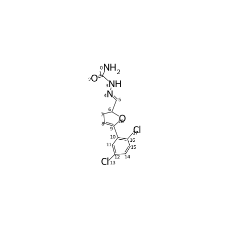 NC(=O)N/N=C/C1CC=C(c2cc(Cl)ccc2Cl)O1